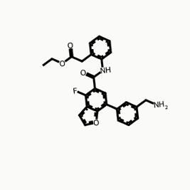 CCOC(=O)Cc1ccccc1NC(=O)c1cc(-c2cccc(CN)c2)c2occc2c1F